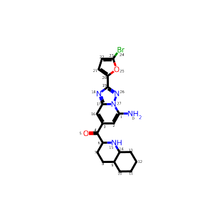 Nc1cc(C(=O)C2CCC3CCCCC3N2)cc2nc(-c3ccc(Br)o3)nn12